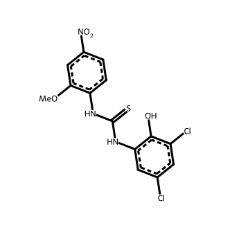 COc1cc([N+](=O)[O-])ccc1NC(=S)Nc1cc(Cl)cc(Cl)c1O